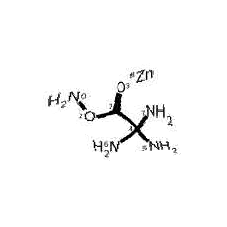 NOC(=O)C(N)(N)N.[Zn]